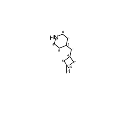 C1CC(CC2CNC2)CCN1